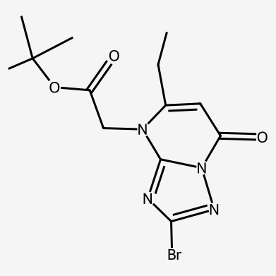 CCc1cc(=O)n2nc(Br)nc2n1CC(=O)OC(C)(C)C